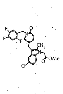 COC(=O)Cn1c(C)c(Cc2ccc(=O)n(Cc3cc(F)c(F)cc3F)c2)c2cc(Cl)ccc21